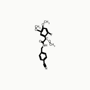 COc1cc(F)c([C@H](OC)C(=O)NCc2ccc(C#N)cc2)cc1OC